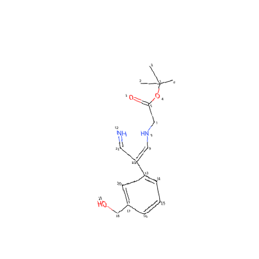 CC(C)(C)OC(=O)CN/C=C(\C=N)c1cccc(CO)c1